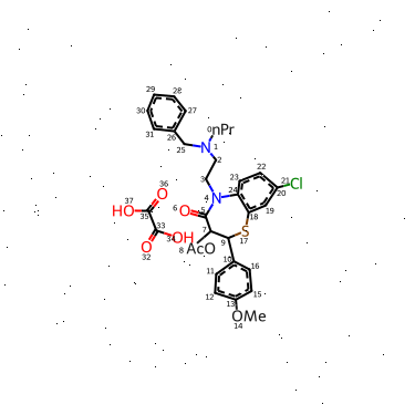 CCCN(CCN1C(=O)C(OC(C)=O)C(c2ccc(OC)cc2)Sc2cc(Cl)ccc21)Cc1ccccc1.O=C(O)C(=O)O